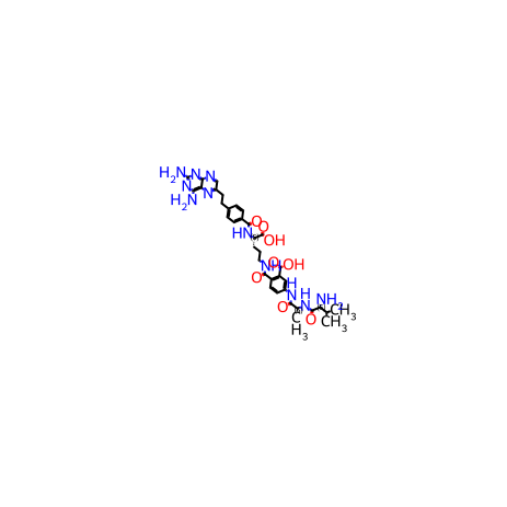 CC(C)[C@H](N)C(=O)N[C@@H](C)C(=O)Nc1ccc(C(=O)NCCC[C@H](NC(=O)c2ccc(CCc3cnc4nc(N)nc(N)c4n3)cc2)C(=O)O)c(C(=O)O)c1